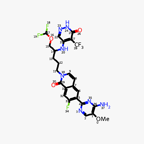 COc1cnc(-c2cc3ccn(CCCC(COC(F)F)Nc4cn[nH]c(=O)c4C(F)(F)F)c(=O)c3cc2F)nc1N